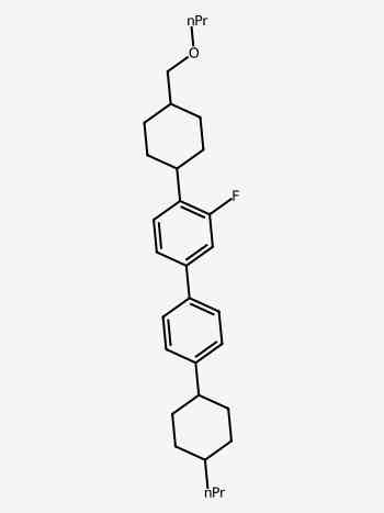 CCCOCC1CCC(c2ccc(-c3ccc(C4CCC(CCC)CC4)cc3)cc2F)CC1